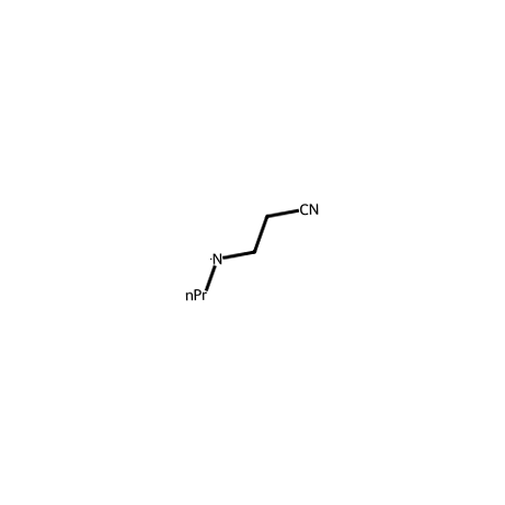 CCC[N]CCC#N